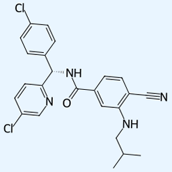 CC(C)CNc1cc(C(=O)N[C@@H](c2ccc(Cl)cc2)c2ccc(Cl)cn2)ccc1C#N